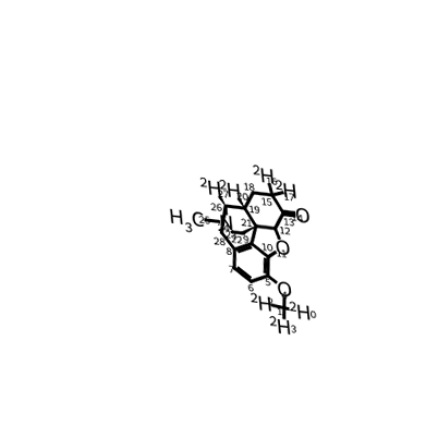 [2H]C([2H])([2H])Oc1ccc2c3c1OC1C(=O)C([2H])([2H])C[C@]4([2H])[C@@]31CCN(C)[C@]4([2H])C2